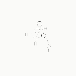 C[C@@H]1Cc2c([nH]c3ccccc23)[C@@H](c2c(F)cc(OCCN3CC(CF)C3)cc2F)N1CC(C)(O)CO